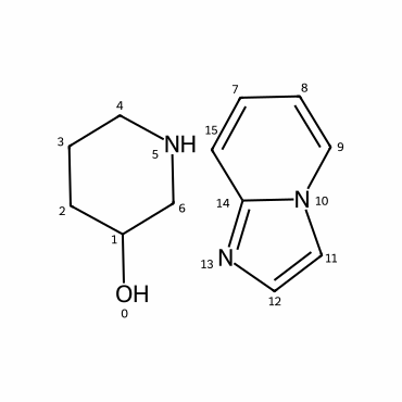 OC1CCCNC1.c1ccn2ccnc2c1